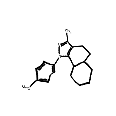 COc1ccc(-n2nc(C)c3c2C2CCCCC2CC3)cc1